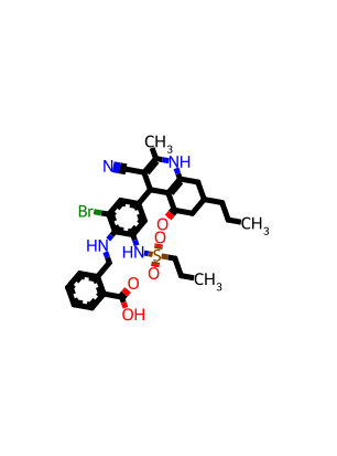 CCCC1CC(=O)C2=C(C1)NC(C)=C(C#N)C2c1cc(Br)c(NCc2ccccc2C(=O)O)c(NS(=O)(=O)CCC)c1